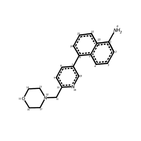 Nc1cccc2c(-c3ccc(CN4CCOCC4)nc3)cccc12